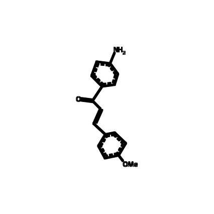 COc1ccc(C=CC(=O)c2ccc(N)cc2)cc1